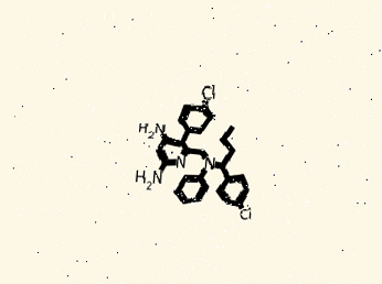 CCCC(c1ccc(Cl)cc1)N(Cc1nc(N)cc(N)c1-c1ccc(Cl)cc1)c1ccccc1